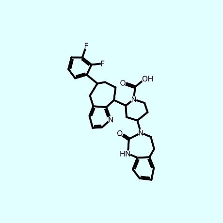 O=C1Nc2ccccc2CCN1C1CCN(C(=O)O)C(C2CCC(c3cccc(F)c3F)Cc3cccnc32)C1